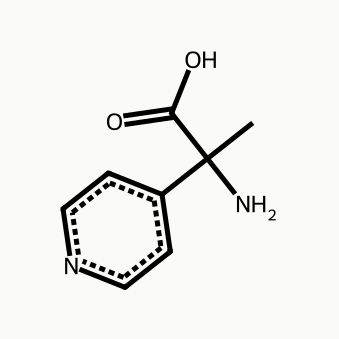 CC(N)(C(=O)O)c1ccncc1